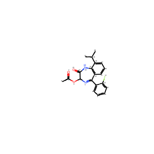 CC(=O)OC1N=C(c2ccccc2F)c2cccc(C(C)C)c2NC1=O